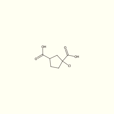 O=C(O)C1CCC(Cl)(C(=O)O)C1